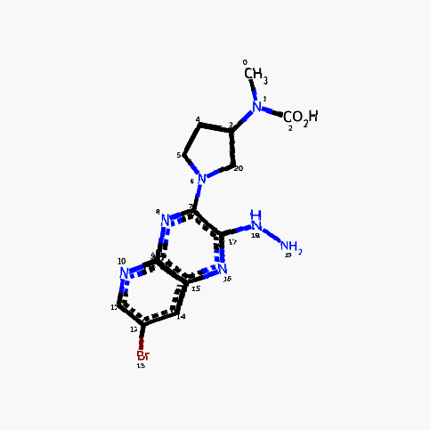 CN(C(=O)O)C1CCN(c2nc3ncc(Br)cc3nc2NN)C1